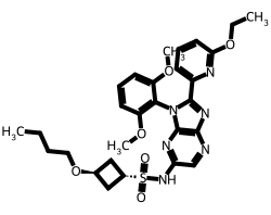 CCCCO[C@H]1C[C@H](S(=O)(=O)Nc2cnc3nc(-c4cccc(OCC)n4)n(-c4c(OC)cccc4OC)c3n2)C1